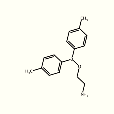 Cc1ccc(B(OCCN)c2ccc(C)cc2)cc1